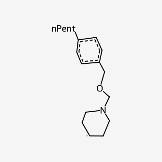 CCCCCc1ccc(COCN2CC[CH]CC2)cc1